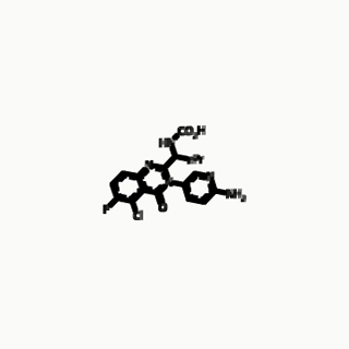 CCCC(NC(=O)O)c1nc2ccc(F)c(Cl)c2c(=O)n1-c1ccc(N)nc1